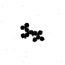 c1ccc(-c2cc(-c3ccccc3)cc(N(c3ccccc3)c3ccc4c(c3)sc3cc(N(c5ccc(N(c6ccccc6)c6ccccc6)cc5)c5ccc6sc7ccccc7c6c5)ccc34)c2)cc1